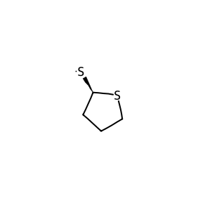 [S][C@@H]1CCCS1